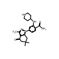 CC1(C)CC(=O)c2c(C(F)(F)F)nn(-c3ccc(C(N)=O)c(NC4CCNCC4)c3)c2C1